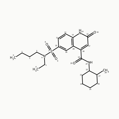 CCCCN(CC)S(=O)(=O)c1ccc2[nH]c(=O)cc(C(=O)NC3CCCCC3C)c2c1